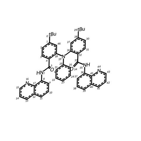 CC(C)(C)c1ccc(C(=O)Nc2cccc3cccnc23)c(N(c2ccccc2)c2cc(C(C)(C)C)ccc2C(=O)Nc2cccc3cccnc23)c1